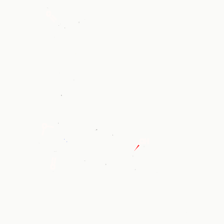 CCCCC[C@H](O)c1ccc(N2C(=O)COC2CCCc2ccc(C(C)=O)s2)cc1